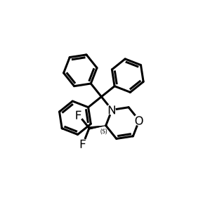 FC(F)[C@@H]1C=COCN1C(c1ccccc1)(c1ccccc1)c1ccccc1